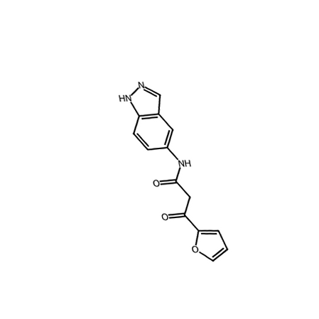 O=C(CC(=O)c1ccco1)Nc1ccc2[nH]ncc2c1